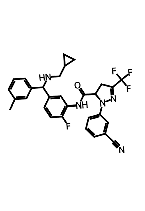 Cc1cccc(C(NCC2CC2)c2ccc(F)c(NC(=O)C3CC(C(F)(F)F)=NN3c3cccc(C#N)c3)c2)c1